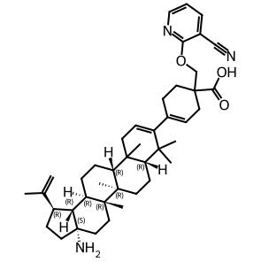 C=C(C)[C@@H]1CC[C@]2(N)CC[C@]3(C)[C@H](CC[C@@H]4C5(C)CC=C(C6=CCC(COc7ncccc7C#N)(C(=O)O)CC6)C(C)(C)[C@@H]5CC[C@]43C)[C@@H]12